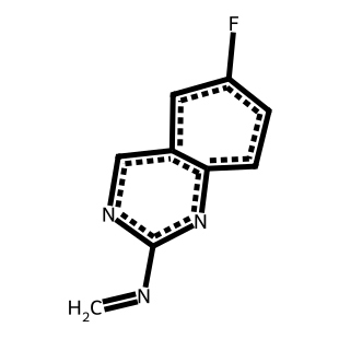 C=Nc1ncc2cc(F)ccc2n1